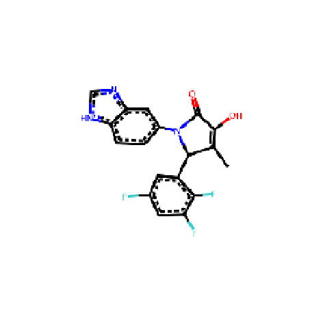 CC1=C(O)C(=O)N(c2ccc3[nH]cnc3c2)C1c1cc(F)cc(F)c1F